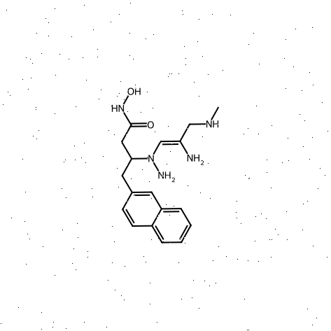 CNC/C(N)=C/N(N)C(CC(=O)NO)Cc1ccc2ccccc2c1